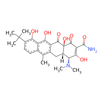 Cc1c2c(c(O)c3c(O)c(C(C)(C)C)ccc13)C(=O)[C@]1(O)C(=O)C(C(N)=O)=C(O)[C@@H](N(C)C)[C@@H]1C2